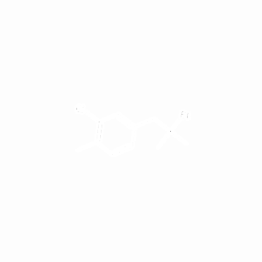 CCC(C)(C)Cc1ccc(C)c(Cl)c1